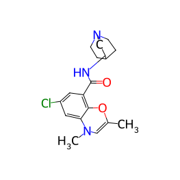 CC1=CN(C)c2cc(Cl)cc(C(=O)NC3CN4CCC3CC4)c2O1